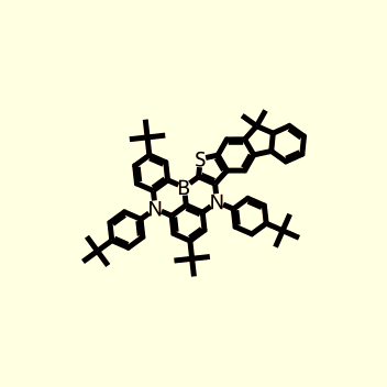 CC(C)(C)c1ccc(N2c3ccc(C(C)(C)C)cc3B3c4sc5cc6c(cc5c4N(C4=CCC(C(C)(C)C)C=C4)c4cc(C(C)(C)C)cc2c43)C2C=CC=CC2C6(C)C)cc1